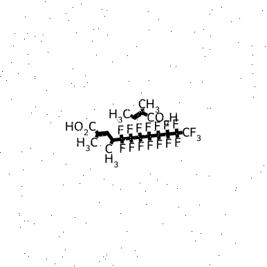 CC(=CC(C)C(F)(F)C(F)(F)C(F)(F)C(F)(F)C(F)(F)C(F)(F)C(F)(F)C(F)(F)F)C(=O)O.CC=C(C)C(=O)O